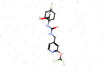 O=C(NCc1ccnc(OC(F)F)c1)NC12CCC(F)(CC1)CC2=O